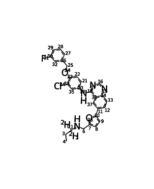 [2H]C([2H])(CC)NCc1ccc(-c2ccc3ncnc(Nc4ccc(OCc5cccc(F)c5)c(Cl)c4)c3c2)o1